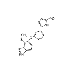 CSc1c(Oc2cccc(-c3ncc(C=O)[nH]3)c2)ccc2[nH]ccc12